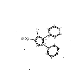 CCOC(=O)c1nn(-c2ccccc2)c(-c2ccccc2)c1F